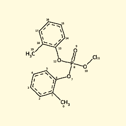 Cc1ccccc1OP(=O)(OCl)Oc1ccccc1C